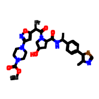 Cc1ncsc1-c1ccc(C(C)NC(=O)C2CC(O)CN2C(=O)C(c2cc(N3CCN(C(=O)OC(C)(C)C)CC3)no2)C(C)C)cc1